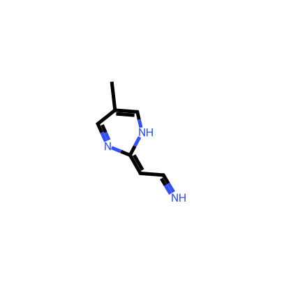 CC1=CN/C(=C\C=N)N=C1